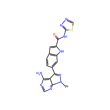 CC(C)n1nc(-c2ccc3cc(C(=O)Nc4nncs4)[nH]c3c2)c2c(N)ncnc21